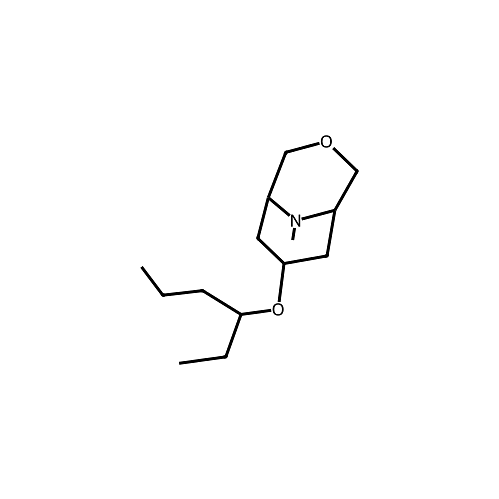 CCCC(CC)OC1CC2COCC(C1)N2C